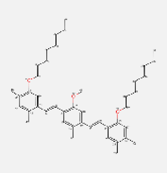 CCCCCCCCOc1cc(/C=C/c2cc(C)c(/C=C/c3cc(C)c(C)cc3OCCCCCCCC)cc2OC)c(C)cc1C